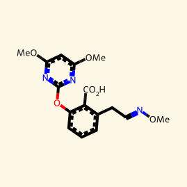 CON=CCc1cccc(Oc2nc(OC)cc(OC)n2)c1C(=O)O